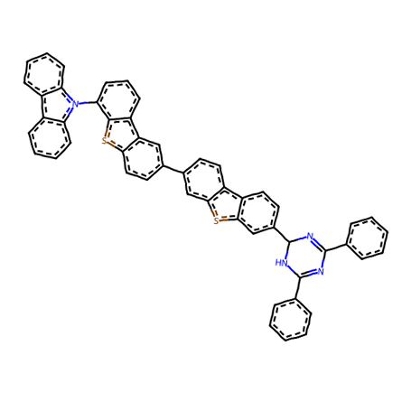 c1ccc(C2=NC(c3ccc4c(c3)sc3cc(-c5ccc6sc7c(-n8c9ccccc9c9ccccc98)cccc7c6c5)ccc34)NC(c3ccccc3)=N2)cc1